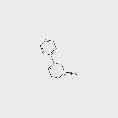 N[C@H]1CCC=C(c2ccccc2)C1